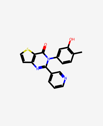 Cc1ccc(-n2c(-c3cccnc3)nc3ccsc3c2=O)cc1O